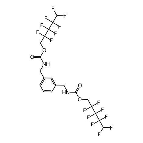 O=C(NCc1cccc(CNC(=O)OCC(F)(F)C(F)(F)C(F)(F)C(F)F)c1)OCC(F)(F)C(F)(F)C(F)(F)C(F)F